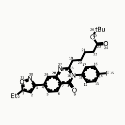 CCc1cc(-c2ccc3c(=O)n(-c4ccc(F)cc4)c(CCCCC(=O)OC(C)(C)C)nc3c2)no1